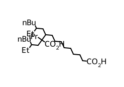 CCCCC(CC)CC(CCCCCCCCC(=O)O)C(CC(CC)CCCC)(C(=O)O)C(C)C